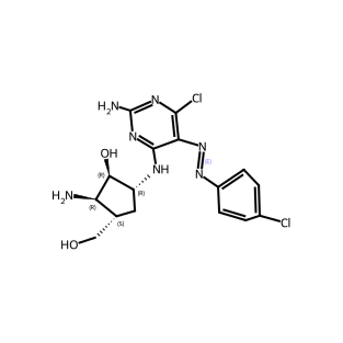 Nc1nc(Cl)c(/N=N/c2ccc(Cl)cc2)c(N[C@@H]2C[C@H](CO)[C@@H](N)[C@H]2O)n1